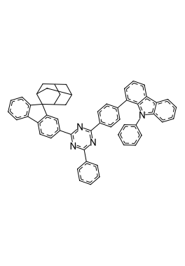 c1ccc(-c2nc(-c3ccc(-c4cccc5c6ccccc6n(-c6ccccc6)c45)cc3)nc(-c3ccc4c(c3)C3(c5ccccc5-4)C4CC5CC(C4)CC3C5)n2)cc1